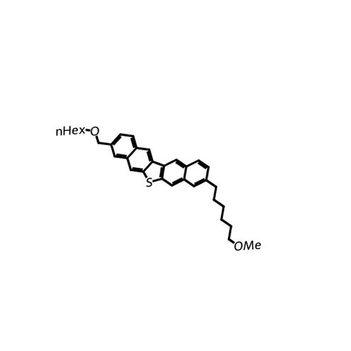 CCCCCCOCc1ccc2cc3c(cc2c1)sc1cc2cc(CCCCCCOC)ccc2cc13